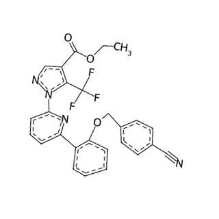 CCOC(=O)c1cnn(-c2cccc(-c3ccccc3OCc3ccc(C#N)cc3)n2)c1C(F)(F)F